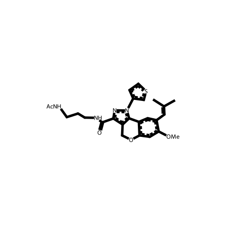 COc1cc2c(cc1C=C(C)C)-c1c(c(C(=O)NCCCNC(C)=O)nn1-c1ccsc1)CO2